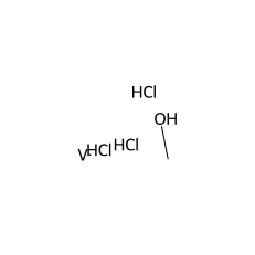 CO.Cl.Cl.Cl.[V]